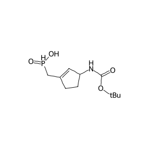 CC(C)(C)OC(=O)NC1C=C(C[PH](=O)O)CC1